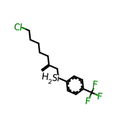 C=C(CCCCCCl)C[SiH2]c1ccc(C(F)(F)F)cc1